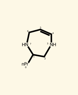 CCCC1CNC=CCN1